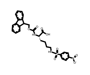 O=C(N[C@@H](CCCCNS(=O)(=O)c1ccc([N+](=O)[O-])cc1)C(=O)O)OCC1c2ccccc2-c2ccccc21